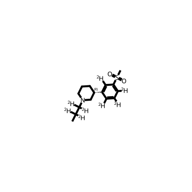 [2H]c1c([2H])c([C@H]2CCCN(C([2H])([2H])C([2H])([2H])C)C2)c([2H])c(S(C)(=O)=O)c1[2H]